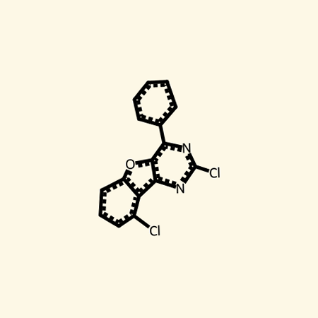 Clc1nc(-c2ccccc2)c2oc3cccc(Cl)c3c2n1